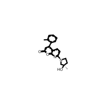 Cc1ccccc1-c1cc(=O)oc2nc(N3CC[C@@](C)(O)C3)ccc12